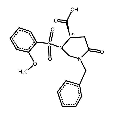 COc1ccccc1S(=O)(=O)N1CN(Cc2ccccc2)C(=O)C[C@@H]1C(=O)O